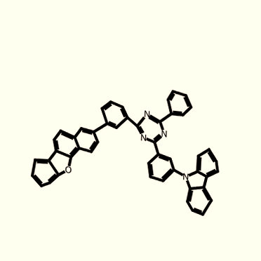 c1ccc(-c2nc(-c3cccc(-c4ccc5c(ccc6c7ccccc7oc56)c4)c3)nc(-c3cccc(-n4c5ccccc5c5ccccc54)c3)n2)cc1